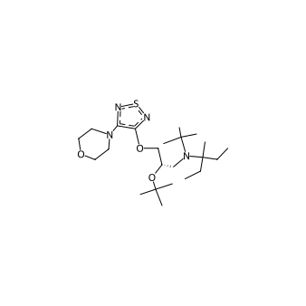 CCC(C)(CC)N(C[C@@H](COc1nsnc1N1CCOCC1)OC(C)(C)C)C(C)(C)C